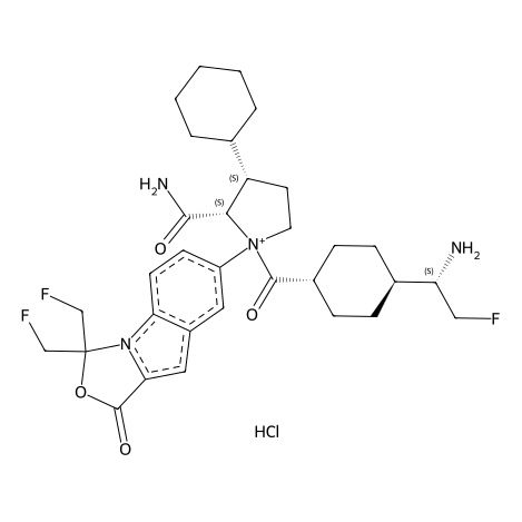 Cl.NC(=O)[C@@H]1[C@H](C2CCCCC2)CC[N+]1(c1ccc2c(c1)cc1n2C(CF)(CF)OC1=O)C(=O)[C@H]1CC[C@H]([C@H](N)CF)CC1